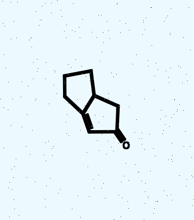 O=C1C=C2CCCC2C1